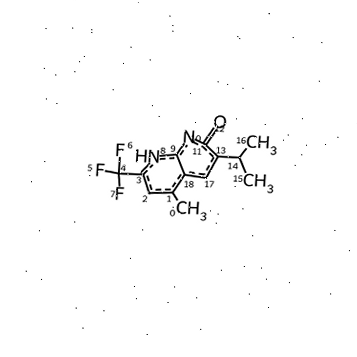 Cc1cc(C(F)(F)F)[nH]c2nc(=O)c(C(C)C)cc1-2